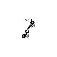 COc1ccc2nnn(CCCN3CCC(c4noc5ccccc45)CC3)c2c1